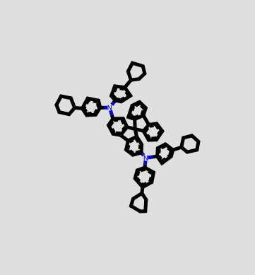 c1ccc2c(c1)-c1ccccc1C21c2cc(N(c3ccc(C4CCCCC4)cc3)c3ccc(C4CCCCC4)cc3)ccc2-c2ccc(N(c3ccc(C4CCCCC4)cc3)c3ccc(C4CCCCC4)cc3)cc21